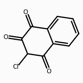 O=C1C(=O)C(Cl)C(=O)c2ccccc21